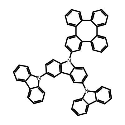 c1ccc2c(c1)-c1ccccc1-c1ccc(-n3c4ccc(-n5c6ccccc6c6ccccc65)cc4c4cc(-n5c6ccccc6c6ccccc65)ccc43)cc1-c1ccccc1-2